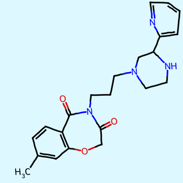 Cc1ccc2c(c1)OCC(=O)N(CCCN1CCNC(c3ccccn3)C1)C2=O